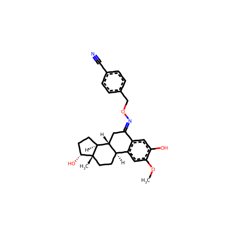 COc1cc2c(cc1O)C(=NOCc1ccc(C#N)cc1)C[C@@H]1[C@@H]2CC[C@]2(C)[C@H](O)CC[C@@H]12